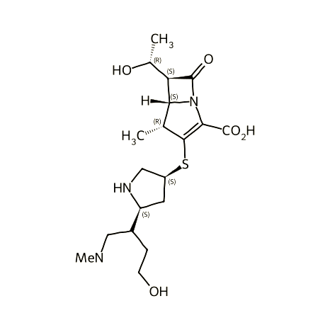 CNCC(CCO)[C@@H]1C[C@H](SC2=C(C(=O)O)N3C(=O)[C@H]([C@@H](C)O)[C@H]3[C@H]2C)CN1